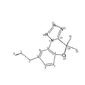 CCCc1ccc2c(c1)-n1nnnc1C(C)(C)O2